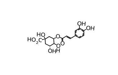 O=C(/C=C/c1ccc(O)c(O)c1)O[C@@H]1C[C@](O)(C(=O)O)C[C@@H](O)C1O